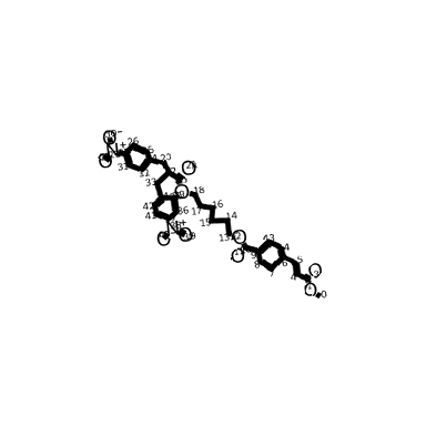 COC(=O)/C=C/c1ccc(C(=O)OCCCCCCOC(=O)C(Cc2ccc([N+](=O)[O-])cc2)Cc2ccc([N+](=O)[O-])cc2)cc1